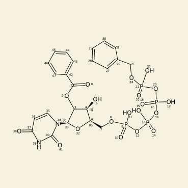 O=C(OC1[C@@H](O)[C@@H](COP(=O)(O)OP(=O)(O)OP(=O)(O)OP(=O)(O)OCc2ccccc2)O[C@H]1n1ccc(=O)[nH]c1=O)c1ccccc1